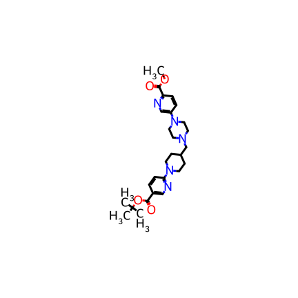 COC(=O)c1ccc(N2CCN(CC3CCN(c4ccc(C(=O)OC(C)(C)C)cn4)CC3)CC2)cn1